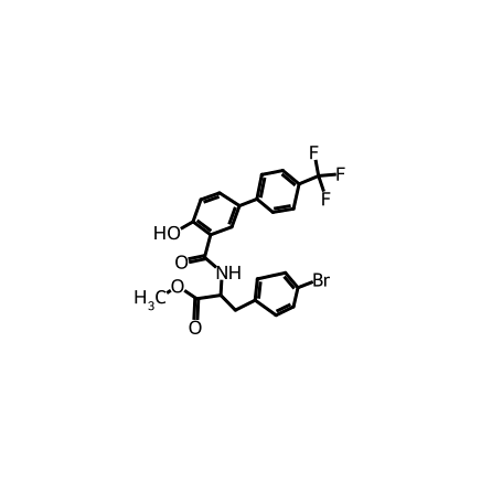 COC(=O)C(Cc1ccc(Br)cc1)NC(=O)c1cc(-c2ccc(C(F)(F)F)cc2)ccc1O